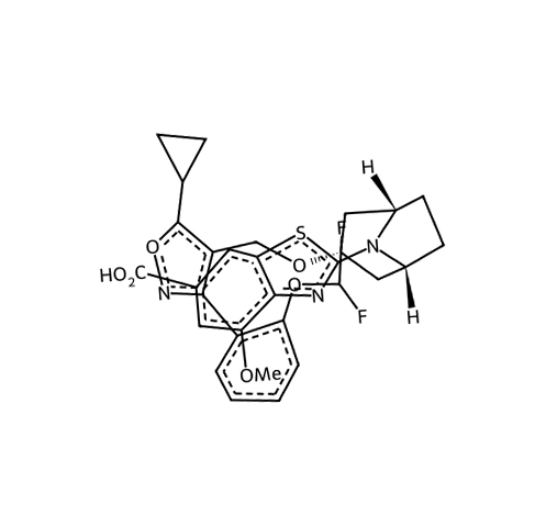 COc1cc(C(=O)O)cc2sc(N3[C@@H]4CC[C@H]3C[C@@H](OCc3c(-c5ccccc5OC(F)F)noc3C3CC3)C4)nc12